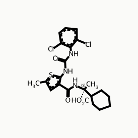 Cc1cc(C(=O)N[C@](C)(C(=O)O)C2CCCCC2)c(NC(=O)Nc2c(Cl)cccc2Cl)s1